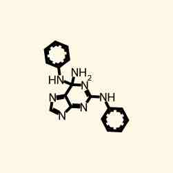 NC1(Nc2ccccc2)N=C(Nc2ccccc2)N=C2N=CN=C21